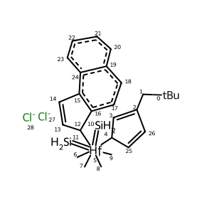 CC(C)(C)CC1=C[CH]([Hf]([CH3])([CH3])([CH3])([CH3])(=[SiH2])(=[SiH2])[CH]2C=Cc3c2ccc2ccccc32)C=C1.[Cl-].[Cl-]